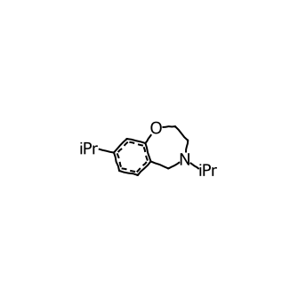 CC(C)c1ccc2c(c1)OCCN(C(C)C)C2